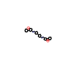 C(=C\c1ccc2oc3ccccc3c2c1)/c1ccc(-c2ccc(/C=C/c3ccc4oc5ccccc5c4c3)cc2)cc1